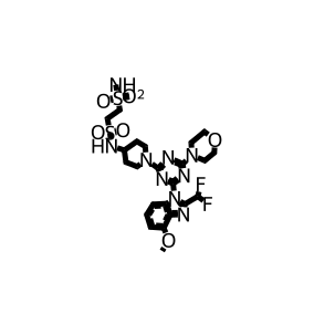 COc1cccc2c1nc(C(F)F)n2-c1nc(N2CCOCC2)nc(N2CCC(NS(=O)(=O)CCS(N)(=O)=O)CC2)n1